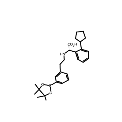 CC1(C)OB(c2cccc(CCN[C@H](C(=O)O)c3ccccc3C3CCCC3)c2)OC1(C)C